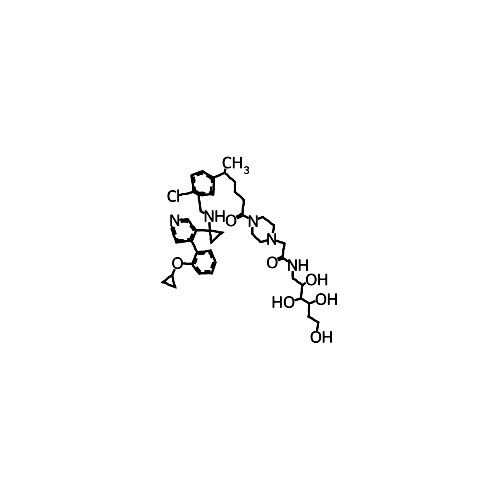 CC(CCCC(=O)N1CCN(CC(=O)NCC(O)C(O)C(O)CCO)CC1)c1ccc(Cl)c(CNC2(c3cnccc3-c3ccccc3OC3CC3)CC2)c1